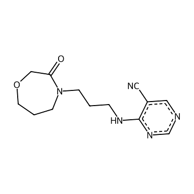 N#Cc1cncnc1NCCCN1CCCOCC1=O